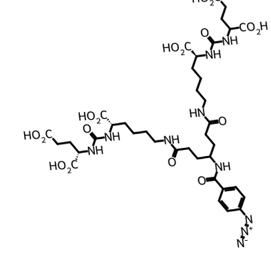 [N-]=[N+]=Nc1ccc(C(=O)NC(CCC(=O)NCCCC[C@H](NC(=O)NC(CCC(=O)O)C(=O)O)C(=O)O)CCC(=O)NCCCC[C@H](NC(=O)N[C@@H](CCC(=O)O)C(=O)O)C(=O)O)cc1